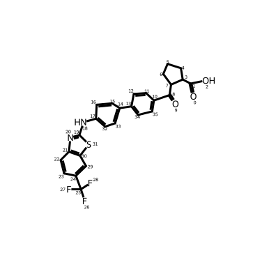 O=C(O)C1CCCC1C(=O)c1ccc(-c2ccc(Nc3nc4ccc(C(F)(F)F)cc4s3)cc2)cc1